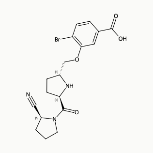 N#C[C@@H]1CCCN1C(=O)[C@H]1CC[C@H](COc2cc(C(=O)O)ccc2Br)N1